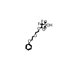 O=C(OCCOCCOc1ccccc1)C(F)(F)S(=O)(=O)O